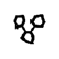 [c]1ccc(-c2ccccn2)c(-c2ccccn2)c1